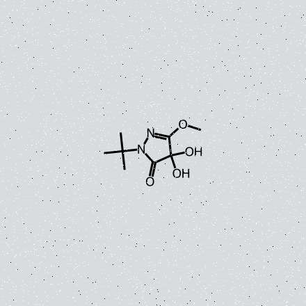 COC1=NN(C(C)(C)C)C(=O)C1(O)O